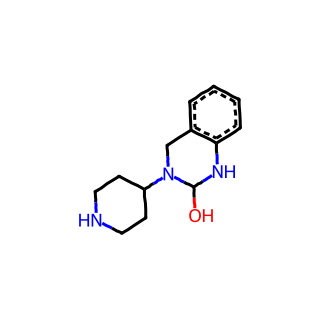 OC1Nc2ccccc2CN1C1CCNCC1